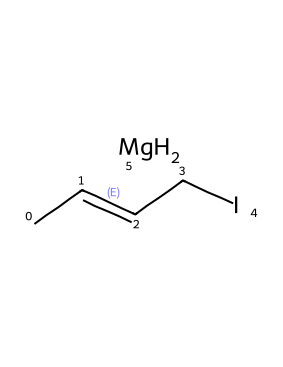 C/C=C/CI.[MgH2]